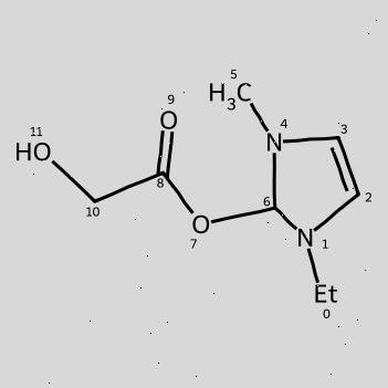 CCN1C=CN(C)C1OC(=O)CO